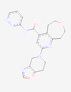 OC(Nc1cccnn1)c1cc(N2CCc3ocnc3C2)nc2c1CCOCC2